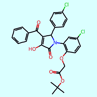 CC(C)(C)OC(=O)COc1ccc(Cl)cc1N1C(=O)C(O)=C(C(=O)c2ccccc2)C1c1ccc(Cl)cc1